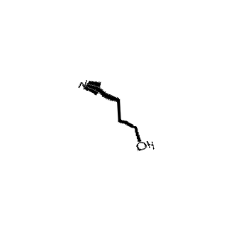 N#CCCCO